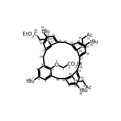 CCOC(=O)COc1c2cc(C(C)(C)C)cc1Cc1cc(C(C)(C)C)cc(c1OCC(=O)OCC)Cc1cc(C(C)(C)C)cc(c1OCC(C)=O)Cc1cc(C(C)(C)C)cc(c1OCC(C)=O)C2